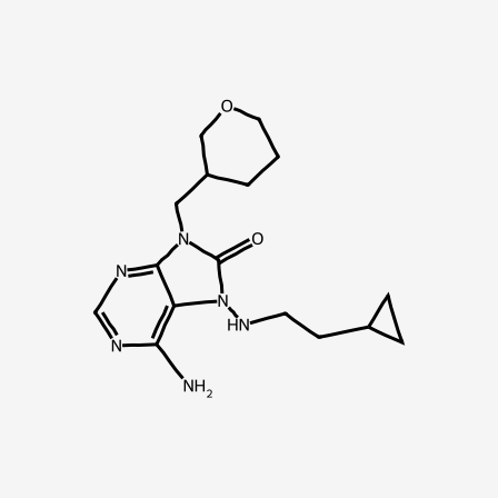 Nc1ncnc2c1n(NCCC1CC1)c(=O)n2CC1CCCOC1